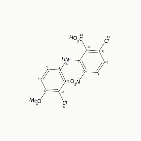 COc1ccc(Nc2c([N+](=O)[O-])ccc(Cl)c2C(=O)O)cc1Cl